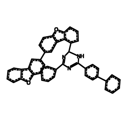 c1ccc(C2=NC(c3cccc4oc5ccc(-c6ccc7oc8ccccc8c7c6)cc5c34)NC(c3ccc(-c4ccccc4)cc3)=N2)cc1